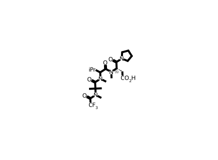 CC(C)C(C(=O)N(C)[C@@H](CC(=O)O)C(=O)N1CCCC1)N(C)C(=O)C(C)(C)N(C)C(=O)C(F)(F)F